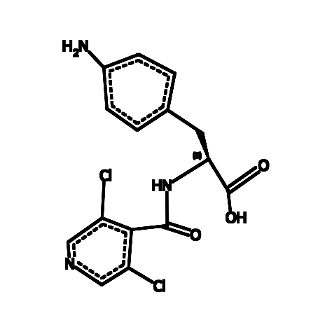 Nc1ccc(C[C@H](NC(=O)c2c(Cl)cncc2Cl)C(=O)O)cc1